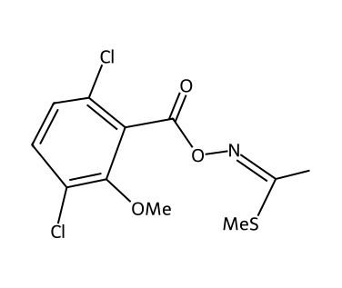 COc1c(Cl)ccc(Cl)c1C(=O)O/N=C(/C)SC